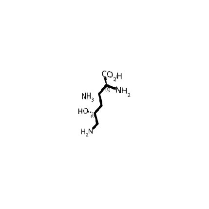 N.NC[C@H](O)CC[C@H](N)C(=O)O